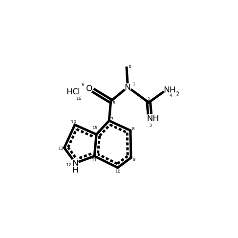 CN(C(=N)N)C(=O)c1cccc2[nH]ccc12.Cl